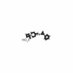 O=C(O)CC1(N2CCC(CN[C@@H]3C[C@H]3c3ccccc3)CC2)CCC1